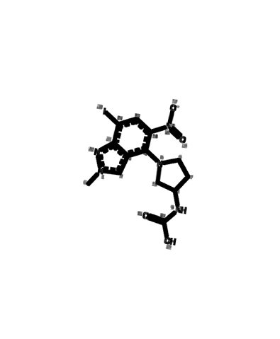 Cn1cc2c(N3CCC(NC(=O)O)C3)c([N+](=O)[O-])cc(I)c2n1